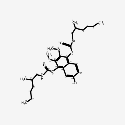 CCCCC(C)CNC(=O)Oc1c(OC)c(OC)c(OC(=O)NCC(C)CCCC)c2cc(Cl)ccc12